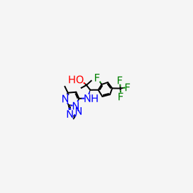 Cc1cc(N[C@H](c2ccc(C(F)(F)F)cc2F)C(C)(C)O)n2ncnc2n1